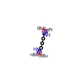 CCCCN(C(=O)OC(C)(C)C)[C@@H](C)c1nc2ccc(-c3ccc(-c4ccc(-c5cnc(C(C)N(CCC)C(=O)OC(C)(C)C)[nH]5)cc4)cc3)cc2[nH]1